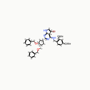 COc1ccc(CNc2nc([C@@H]3C[C@H](COCc4ccccc4)[C@@H](OCc4ccccc4)C3)nc3[nH]cc(Br)c23)c(OC)c1